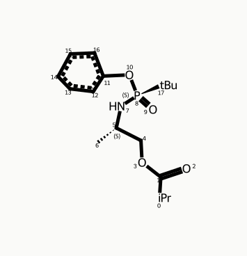 CC(C)C(=O)OC[C@H](C)N[P@@](=O)(Oc1ccccc1)C(C)(C)C